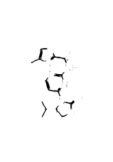 Cc1csc([C@@H](C)Nc2nccc(N3C(=O)OC[C@@H]3C(C)C)n2)n1